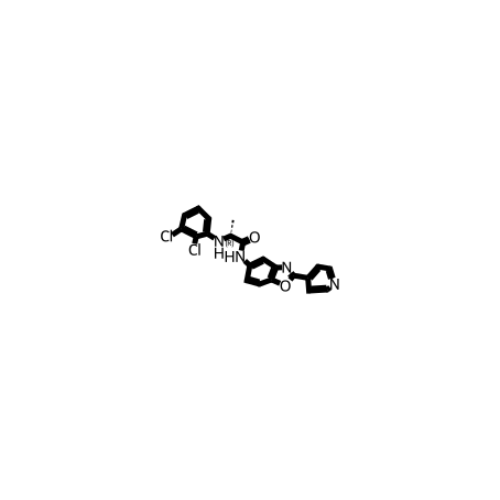 C[C@@H](Nc1cccc(Cl)c1Cl)C(=O)Nc1ccc2oc(-c3ccncc3)nc2c1